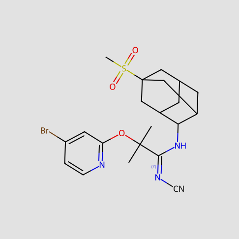 CC(C)(Oc1cc(Br)ccn1)/C(=N/C#N)NC1C2CC3CC1CC(S(C)(=O)=O)(C3)C2